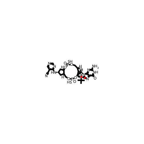 CC(C)(C)[Si](C)(C)O[C@H]1[C@H]2O[P@@](=O)(S)OC[C@H]3C[C@@H](Nc4ncncc4C#N)C[C@@H]3O[P@@](=O)(S)OC[C@H]1O[C@H]2n1cnc2c(=O)[nH]c(N)nc21